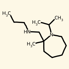 CCCNCC1(C)CCCCCN1C(C)C